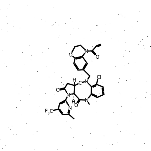 C=CC(=O)N1CCOc2ccc(CN3C[C@H]4CC(=O)N(c5cc(C(F)(F)F)cc(C)n5)[C@@H]4C(=O)N(C)c4cccc(Cl)c43)cc21